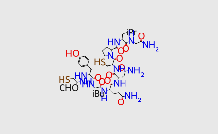 CC[C@H](C)[C@H](NC(=O)[C@H](Cc1ccc(O)cc1)NN[C@H](C=O)CS)C(=O)N[C@@H](CCC(N)=O)C(=O)N[C@@H](CC(N)=O)C(=O)N[C@@H](CS)C(=O)N1CCC[C@H]1C(=O)N[C@@H](CC(C)C)C(=O)NCC(N)=O